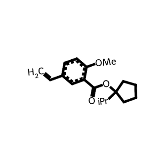 C=Cc1ccc(OC)c(C(=O)OC2(C(C)C)CCCC2)c1